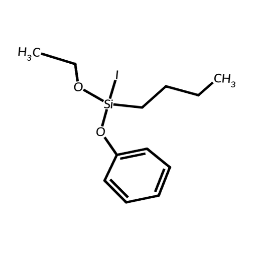 CCCC[Si](I)(OCC)Oc1ccccc1